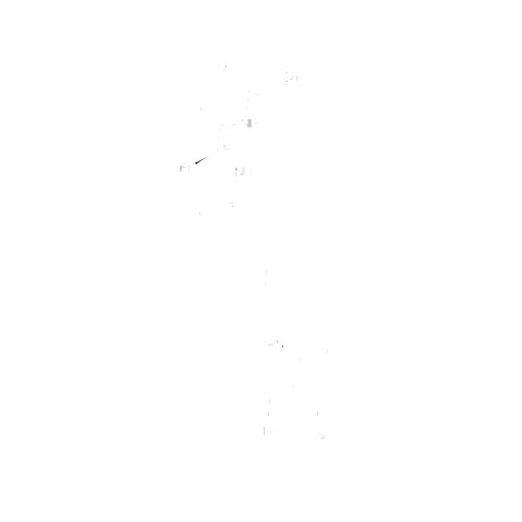 CCCC[C@H](NC(=O)[C@@H](NC(=O)CCCCCNC(=O)C(CBr)CBr)C(C)C)C(C)=O